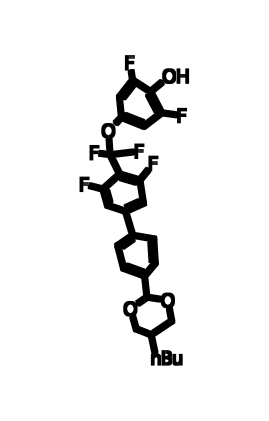 CCCCC1COC(c2ccc(-c3cc(F)c(C(F)(F)Oc4cc(F)c(O)c(F)c4)c(F)c3)cc2)OC1